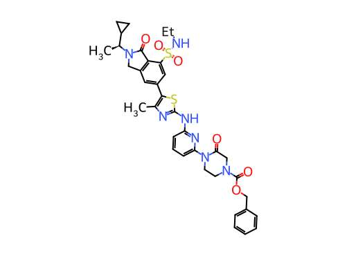 CCNS(=O)(=O)c1cc(-c2sc(Nc3cccc(N4CCN(C(=O)OCc5ccccc5)CC4=O)n3)nc2C)cc2c1C(=O)N([C@@H](C)C1CC1)C2